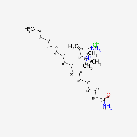 CCCCCCCCCCCCCCCCCC(N)=O.CCC[N+](C)(C)C.N.[Cl-]